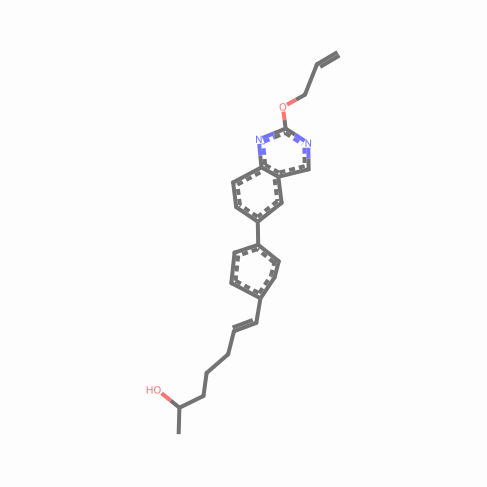 C=CCOc1ncc2cc(-c3ccc(C=CCCCC(C)O)cc3)ccc2n1